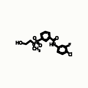 CN(CCO)S(=O)(=O)c1cccc(C(=O)Nc2ccc(Cl)c(F)c2)c1